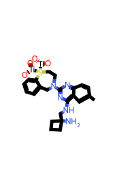 Cc1ccc2nc(N3CC[S]([Ti](=[O])=[O])([Ti](=[O])=[O])c4ccccc4C3)nc(NCC3(N)CCC3)c2c1